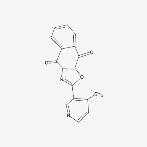 Cc1ccncc1-c1nc2c(o1)C(=O)c1ccccc1C2=O